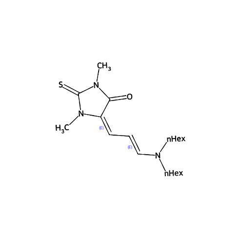 CCCCCCN(/C=C/C=C1\C(=O)N(C)C(=S)N1C)CCCCCC